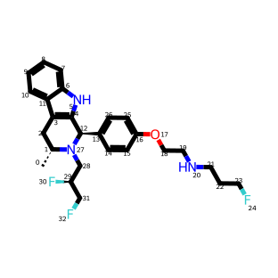 C[C@@H]1Cc2c([nH]c3ccccc23)[C@@H](c2ccc(OCCNCCCF)cc2)N1C[C@H](F)CF